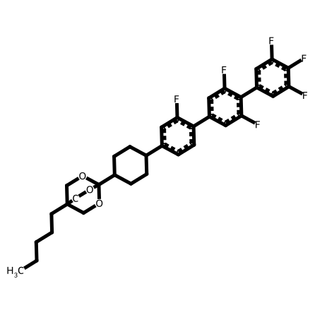 CCCCCC12COC(C3CCC(c4ccc(-c5cc(F)c(-c6cc(F)c(F)c(F)c6)c(F)c5)c(F)c4)CC3)(OC1)OC2